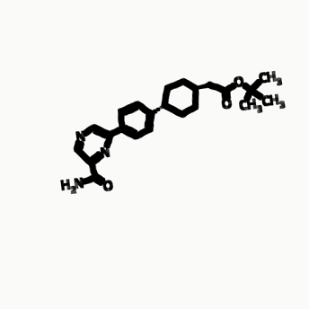 CC(C)(C)OC(=O)C[C@H]1CC[C@H](c2ccc(-c3cncc(C(N)=O)n3)cc2)CC1